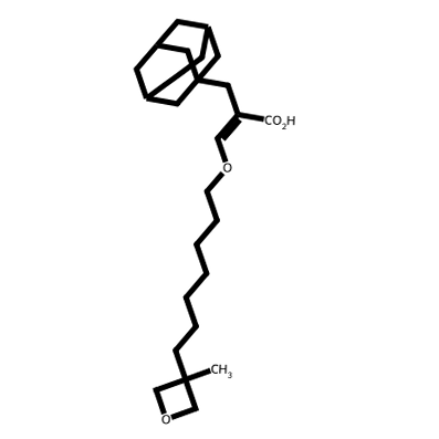 CC1(CCCCCCCOC=C(CC23CC4CC(CC(C4)C2)C3)C(=O)O)COC1